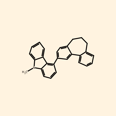 Cn1c2ccccc2c2c(-c3ccc4c(c3)-c3ccccc3CCC4)cccc21